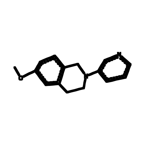 COc1ccc2c(c1)CCN(c1cccnc1)C2